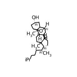 CC(C)CCC[C@@H](C)[C@H]1CC[C@H]2[C@@H]3C[C@@H]4OC5C[C@H](O)CC4[C@@]5(C)[C@H]3CC[C@]12C